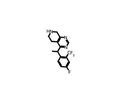 CC(c1ccc(F)cc1C(F)(F)F)c1ncnc2c1CCNC2